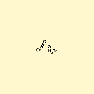 [O]=[Cd].[TeH2].[Zn]